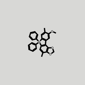 COc1cc2c(cc1C)[Si](c1ccccc1)(c1ccccc1)c1cc(C)c3c(c1-2)OCO3